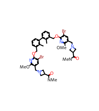 CNC(=O)C1CN(Cc2cc(Br)c(OCc3cccc(-c4cccc(COc5nc(OC)c(CN6CC(C(=O)NC)C6)cc5Br)c4C)c3C)nc2OC)C1